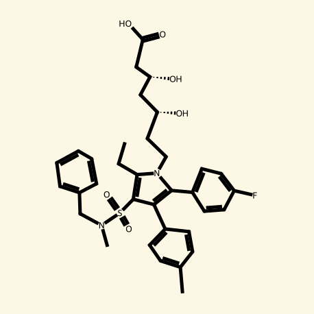 CCc1c(S(=O)(=O)N(C)Cc2ccccc2)c(-c2ccc(C)cc2)c(-c2ccc(F)cc2)n1CC[C@@H](O)C[C@@H](O)CC(=O)O